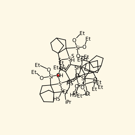 CCO[Si](OCC)(OCC)C1(S(S)(SS)C(=C(CC)C(CCC(C)C)(S(S)(SS)C2([Si](OCC)(OCC)OCC)CC3CCC2(CC)C3)S(S)(SS)C2([Si](OCC)(OCC)OCC)CC3CCC2(CC)C3)S(S)(SS)C2([Si](OCC)(OCC)OCC)CC3CCC2(CC)C3)CC2CCC1(CC)C2